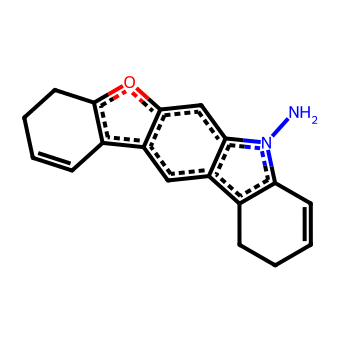 Nn1c2c(c3cc4c5c(oc4cc31)CCC=C5)CCC=C2